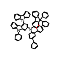 c1ccc(-c2ccc(N(c3ccc4c(c3)-c3ccccc3C4(c3ccccc3)c3ccccc3)c3cc(-n4c5ccccc5c5ccccc54)c4c5ccccc5n(-c5ccccc5)c4c3)c(-c3ccccc3)c2)cc1